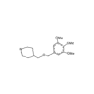 COc1cc(COCC2CC[N]CC2)cc(OC)c1OC